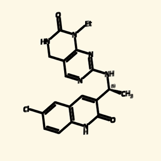 CCN1C(=O)NCc2cnc(N[C@@H](C)c3cc4cc(Cl)ccc4[nH]c3=O)nc21